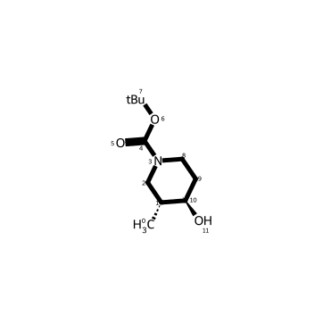 C[C@@H]1CN(C(=O)OC(C)(C)C)CC[C@H]1O